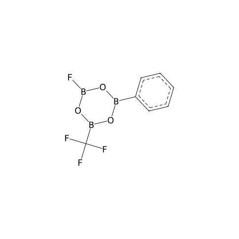 FB1OB(c2ccccc2)OB(C(F)(F)F)O1